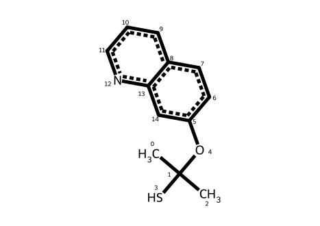 CC(C)(S)Oc1ccc2cccnc2c1